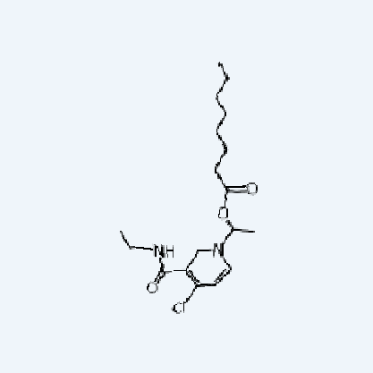 CCCCCCCC(=O)OC(C)N1C=CC(Cl)=C(C(=O)NCC)C1